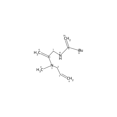 C=CCN(C)C(=C)CNC(=C)C(C)CC